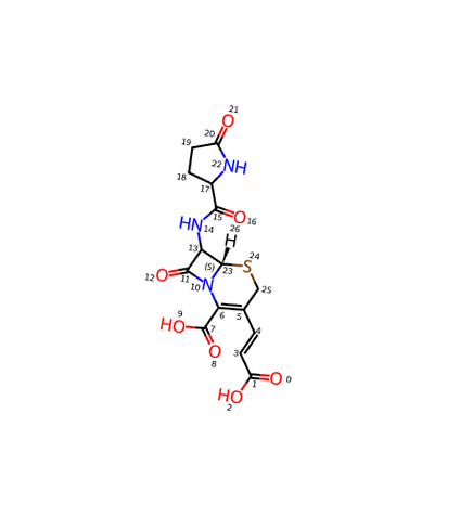 O=C(O)C=CC1=C(C(=O)O)N2C(=O)C(NC(=O)C3CCC(=O)N3)[C@@H]2SC1